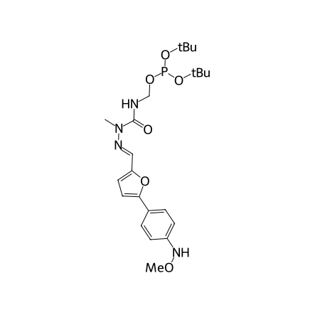 CONc1ccc(-c2ccc(/C=N/N(C)C(=O)NCOP(OC(C)(C)C)OC(C)(C)C)o2)cc1